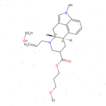 C=CCN1CC(C(=O)OCCCOCC)C[C@@H]2c3cccc4c3c(cn4CCC)C[C@H]21.O=S(=O)(O)O